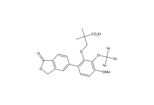 [2H]C([2H])([2H])Oc1c(OC)ccc(-c2ccc3c(c2)COC3=O)c1OCC(C)(C)C(=O)OCC